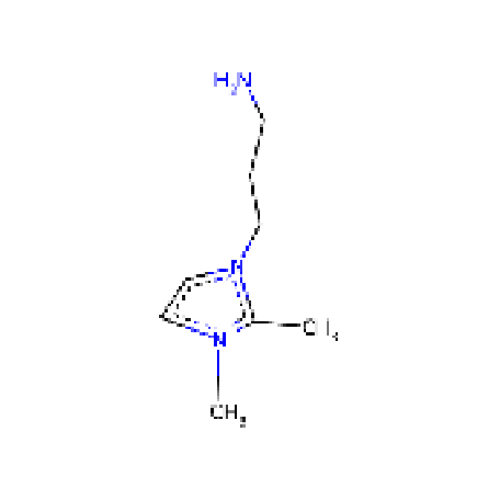 Cc1n(CCCN)cc[n+]1C